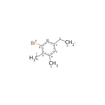 [CH2]Cc1cc(C)c(C)c(Br)c1